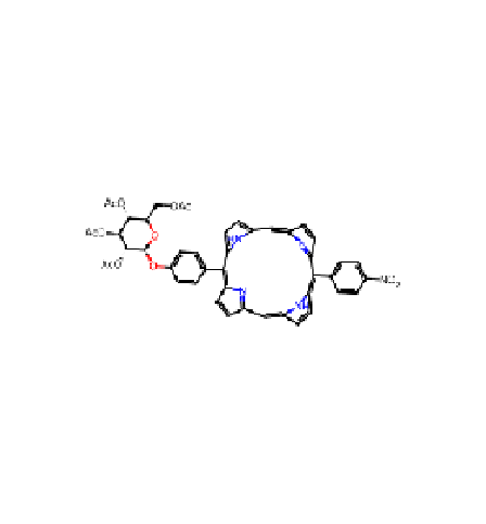 CC(=O)OC[C@H]1O[C@@H](Oc2ccc(-c3c4nc(cc5ccc([nH]5)c(-c5ccc([N+](=O)[O-])cc5)c5nc(cc6ccc3[nH]6)C=C5)C=C4)cc2)[C@H](OC(C)=O)[C@@H](OC(C)=O)[C@@H]1OC(C)=O